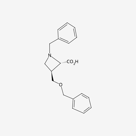 O=C(O)[C@@H]1[C@@H](COCc2ccccc2)CN1Cc1ccccc1